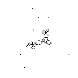 COC(=O)Cc1cn(C2CCN(C(=O)OC(C)(C)C)CC2)c2ccccc12